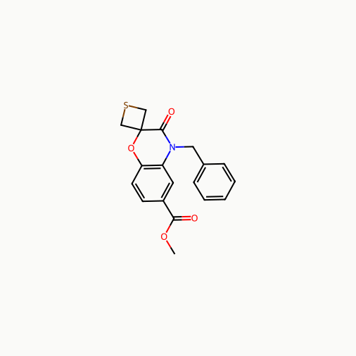 COC(=O)c1ccc2c(c1)N(Cc1ccccc1)C(=O)C1(CSC1)O2